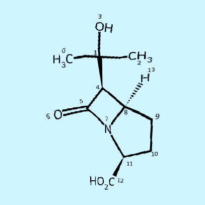 CC(C)(O)[C@@H]1C(=O)N2[C@@H]1CC[C@H]2C(=O)O